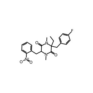 CCC1(Cc2ccc(F)cc2)C(=O)N(C)C(Cc2ccccc2[N+](=O)[O-])C(=O)N1C